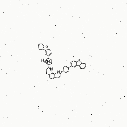 C=C(/C=C\C(=C/C)c1ccc2ccc3ccc(-c4ccc(-c5ccc6sc7ccccc7c6c5)cc4)nc3c2n1)c1ccc2sc3ccccc3c2c1